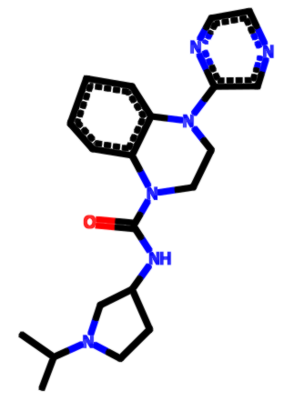 CC(C)N1CCC(NC(=O)N2CCN(c3cnccn3)c3ccccc32)C1